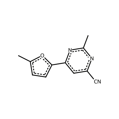 Cc1nc(C#N)cc(-c2ccc(C)o2)n1